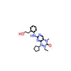 CCN1C(=O)N(C)c2cnc(Nc3ccccc3CCO)nc2N1C1CCCC1